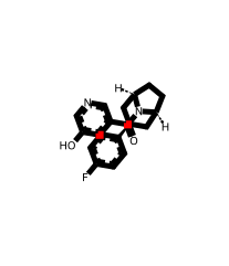 O=C(c1cncc(O)c1)N1[C@@H]2CC[C@H]1C[C@@H](c1ccc(F)cc1)C2